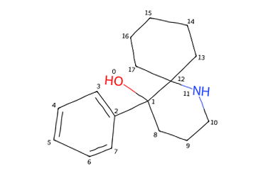 OC1(c2ccccc2)CCCNC12CCCCC2